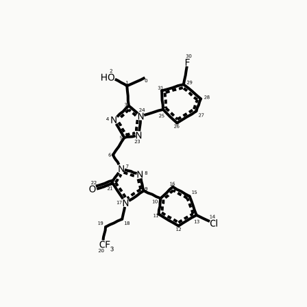 CC(O)c1nc(Cn2nc(-c3ccc(Cl)cc3)n(CCC(F)(F)F)c2=O)nn1-c1cccc(F)c1